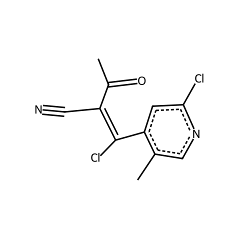 CC(=O)/C(C#N)=C(/Cl)c1cc(Cl)ncc1C